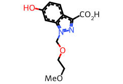 COCCOCn1nc(C(=O)O)c2ccc(O)cc21